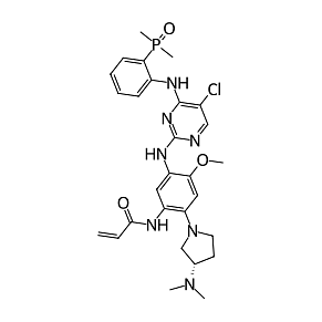 C=CC(=O)Nc1cc(Nc2ncc(Cl)c(Nc3ccccc3P(C)(C)=O)n2)c(OC)cc1N1CC[C@H](N(C)C)C1